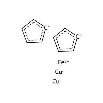 [Cu].[Cu].[Fe+2].c1cc[cH-]c1.c1cc[cH-]c1